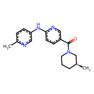 Cc1ccc(Nc2ccc(C(=O)N3CCC[C@H](C)C3)cn2)cn1